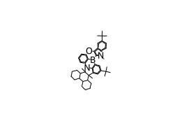 Cn1c2c(c3cc(C(C)(C)C)ccc31)Oc1cccc3c1B2c1cc(C(C)(C)C)cc2c1N3C1(C)C3CCCCC3C3CCCCC3C21C